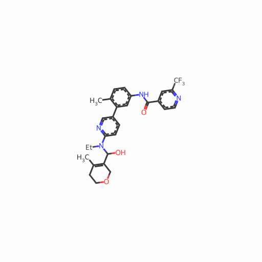 CCN(c1ccc(-c2cc(NC(=O)c3ccnc(C(F)(F)F)c3)ccc2C)cn1)C(O)C1=C(C)CCOC1